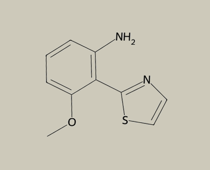 COc1cccc(N)c1-c1nccs1